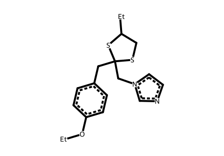 CCOc1ccc(CC2(Cn3ccnc3)SCC(CC)S2)cc1